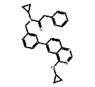 O=C(Cc1ccccc1)N(Cc1cccc(-c2ccc3ncnc(NC4CC4)c3c2)c1)C1CC1